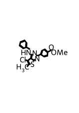 COC(=O)c1ccc(-c2nc(NCc3ccccc3)c3c(Cl)c(C)sc3n2)cc1